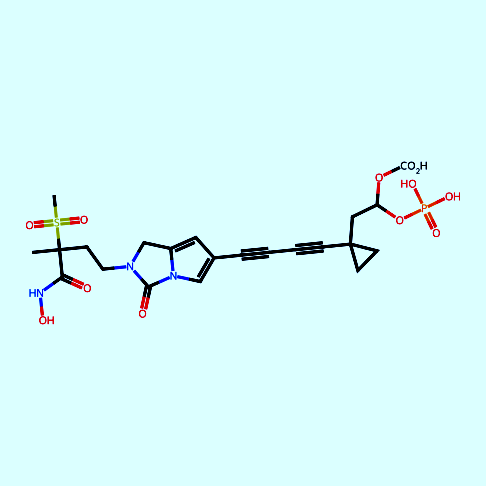 CC(CCN1Cc2cc(C#CC#CC3(CC(OC(=O)O)OP(=O)(O)O)CC3)cn2C1=O)(C(=O)NO)S(C)(=O)=O